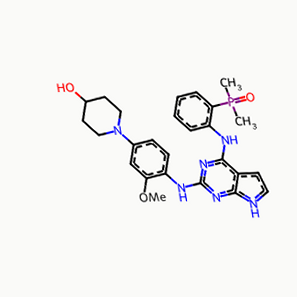 COc1cc(N2CCC(O)CC2)ccc1Nc1nc(Nc2ccccc2P(C)(C)=O)c2cc[nH]c2n1